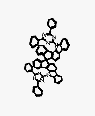 c1ccc(-c2nc(-c3ccccc3)nc(-n3c4ccccc4c4ccc5c(c43)-c3ccccc3C53c4ccccc4-c4c3ccc3c5ccccc5n(-c5nc(-c6ccccc6)nc(-c6ccccc6)n5)c43)n2)cc1